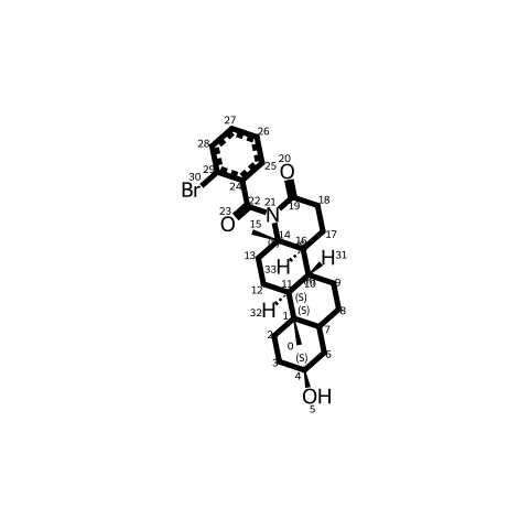 C[C@]12CC[C@H](O)CC1CC[C@@H]1[C@@H]2CC[C@@]2(C)[C@H]1CCC(=O)N2C(=O)c1ccccc1Br